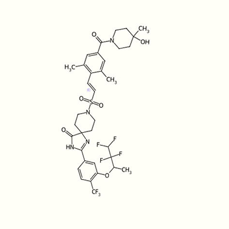 Cc1cc(C(=O)N2CCC(C)(O)CC2)cc(C)c1/C=C/S(=O)(=O)N1CCC2(CC1)N=C(c1ccc(C(F)(F)F)c(OC(C)C(F)(F)C(F)F)c1)NC2=O